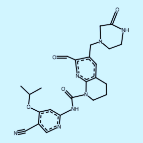 CC(C)Oc1cc(NC(=O)N2CCCc3cc(CN4CCNC(=O)C4)c(C=O)nc32)ncc1C#N